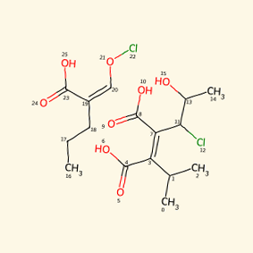 CC(C)C(C(=O)O)=C(C(=O)O)C(Cl)C(C)O.CCCC(=COCl)C(=O)O